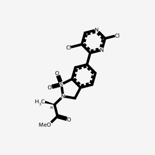 COC(=O)[C@@H](C)N1Cc2ccc(-c3nc(Cl)ncc3Cl)cc2S1(=O)=O